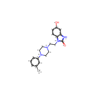 O=c1[nH]c2cc(O)ccc2n1CCN1CCN(c2cccc(C(F)(F)F)c2)CC1